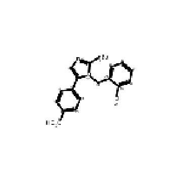 CCCCc1ncc(-c2ccc(C(=O)O)cc2)n1Cc1ccccc1Cl